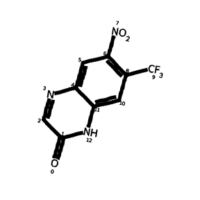 O=c1cnc2cc([N+](=O)[O-])c(C(F)(F)F)cc2[nH]1